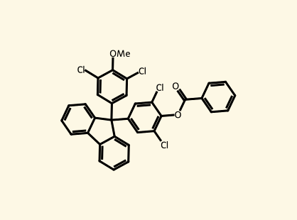 COc1c(Cl)cc(C2(c3cc(Cl)c(OC(=O)c4ccccc4)c(Cl)c3)c3ccccc3-c3ccccc32)cc1Cl